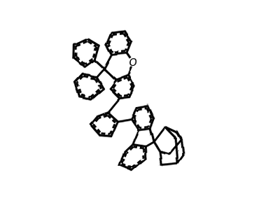 c1ccc(C2(c3ccccc3)c3ccccc3Oc3ccc(-c4ccccc4-c4cccc5c4-c4ccccc4C54C5CC6CC(C5)CC4C6)cc32)cc1